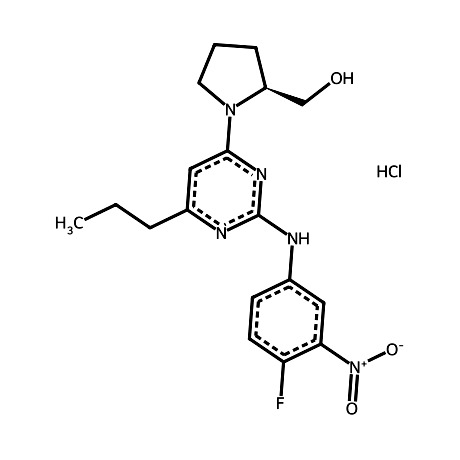 CCCc1cc(N2CCC[C@H]2CO)nc(Nc2ccc(F)c([N+](=O)[O-])c2)n1.Cl